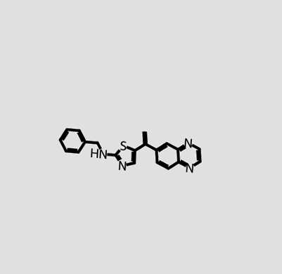 C=C(c1ccc2nccnc2c1)c1cnc(NCc2ccccc2)s1